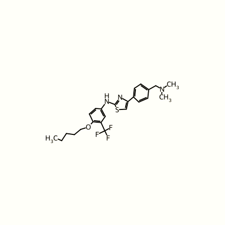 CCCCCOc1ccc(Nc2nc(-c3ccc(CN(C)C)cc3)cs2)cc1C(F)(F)F